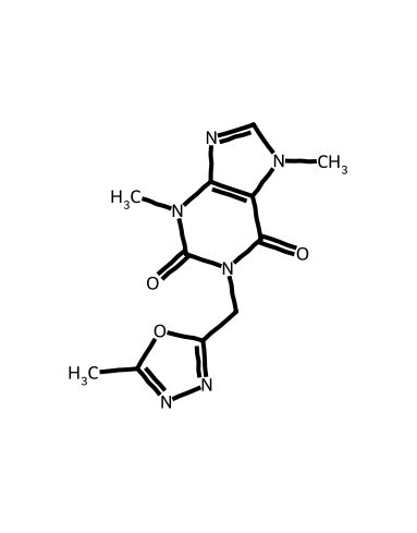 Cc1nnc(Cn2c(=O)c3c(ncn3C)n(C)c2=O)o1